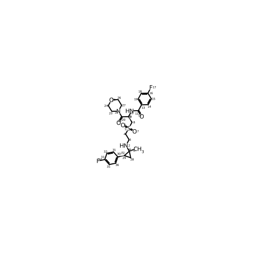 C[C@@]1(NCCS(=O)(=O)C[C@H](NC(=O)c2ccc(F)cc2)C(=O)N2CCOCC2)C[C@H]1c1ccc(F)cc1